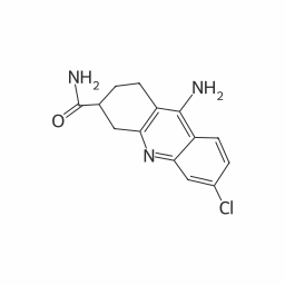 NC(=O)C1CCc2c(nc3cc(Cl)ccc3c2N)C1